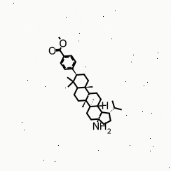 COC(=O)c1ccc([C@H]2CC[C@@]3(C)C(CC[C@]4(C)C3CC[C@@H]3C5[C@H](C(C)C)CC[C@]5(N)CC[C@]34C)C2(C)C)cc1